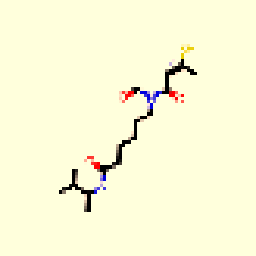 C/C(S)=C\C(=O)N(C=O)CCCCCC(=O)NC(C)C(C)C